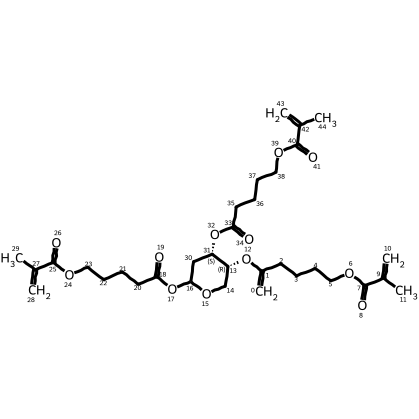 C=C(CCCCOC(=O)C(=C)C)O[C@@H]1COC(OC(=O)CCCCOC(=O)C(=C)C)C[C@@H]1OC(=O)CCCCOC(=O)C(=C)C